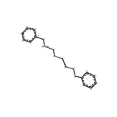 c1ccc(CCCCCCNCc2ccccc2)cc1